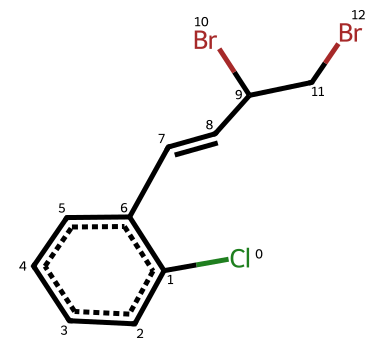 Clc1ccccc1/C=C/C(Br)CBr